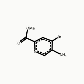 COC(=O)c1cc(Br)c(N)cn1